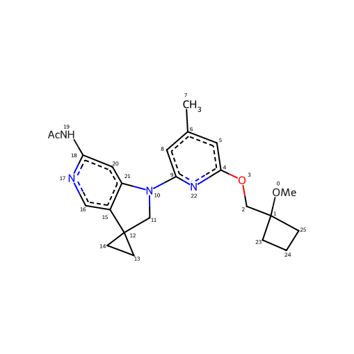 COC1(COc2cc(C)cc(N3CC4(CC4)c4cnc(NC(C)=O)cc43)n2)CCC1